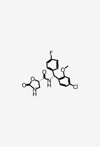 COc1cc(Cl)ccc1[C@H](NC(=O)[C@@H]1CNC(=O)O1)c1ccc(F)cc1